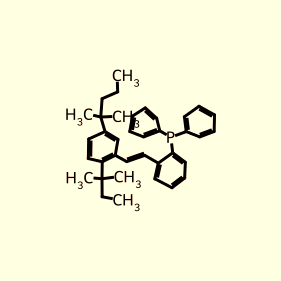 CCCC(C)(C)c1ccc(C(C)(C)CC)c(/C=C/c2ccccc2P(c2ccccc2)c2ccccc2)c1